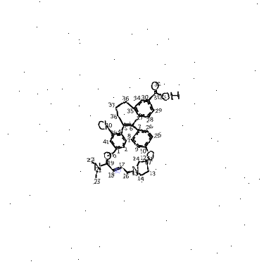 Cc1ccc(C2=C(c3ccc(O[C@H]4CCN(C/C=C/C(=O)N(C)C)C4)cc3)c3ccc(C(=O)O)cc3CCC2)c(Cl)c1